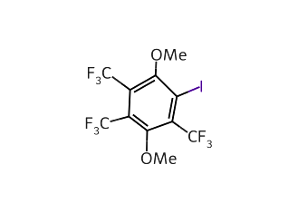 COc1c(I)c(C(F)(F)F)c(OC)c(C(F)(F)F)c1C(F)(F)F